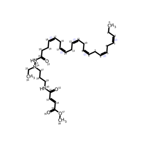 CC/C=C\C/C=C\C/C=C\C/C=C\C/C=C\C/C=C\CCC(=O)NN(CC)CCCNC(=O)C=CC(=O)OC